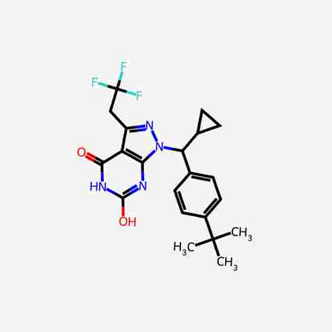 CC(C)(C)c1ccc(C(C2CC2)n2nc(CC(F)(F)F)c3c(=O)[nH]c(O)nc32)cc1